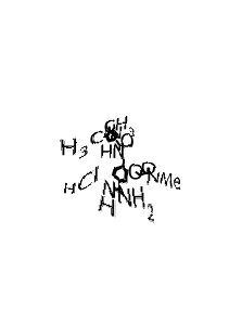 CNC(=O)COc1cc(C(=N)N)ccc1CNC(=O)c1cc(C)n(C)n1.Cl